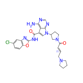 Nc1ncnc2c1c(C(=O)Nc1nc3cc(Cl)ccc3o1)cn2C1CCN(C(=O)/C=C/CN2CCCC2)C1